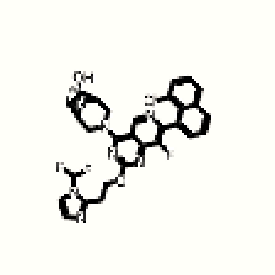 O[C@@H]1CC2CN(c3nc(OCCc4nccn4C(F)F)nc4c(F)c(-c5cccc6cccc(Cl)c56)ncc34)CC1N2